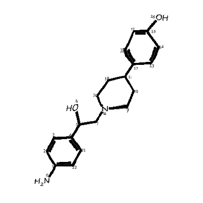 Nc1ccc(C(O)CN2CCC(c3ccc(O)cc3)CC2)cc1